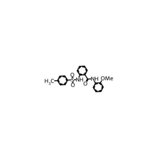 COc1ccccc1NC(=O)c1ccccc1NS(=O)(=O)c1ccc(C)cc1